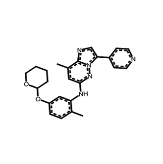 Cc1ccc(OC2CCCCO2)cc1Nc1cc(C)c2ncc(-c3ccncc3)n2n1